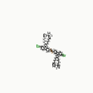 CCCCCCCCC1(CCCCCCCC)c2cc(Br)ccc2-c2ccc(SSc3ccc4c(c3)C(CCCCCCCC)(CCCCCCCC)c3cc(Br)ccc3-4)cc21